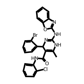 CC1=C(C(=O)Nc2ccccc2Cl)C(c2ccccc2Br)N=C(Nc2nc3ccccc3o2)N1